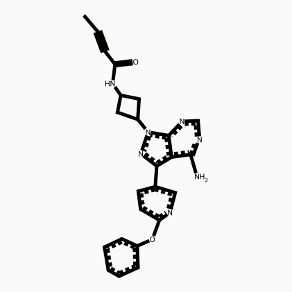 CC#CC(=O)NC1CC(n2nc(-c3ccc(Oc4ccccc4)nc3)c3c(N)ncnc32)C1